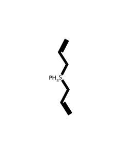 C=CCSCC=C.P